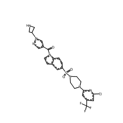 O=C(c1cnn(C2CNC2)c1)n1ccc2cc(S(=O)(=O)N3CCN(c4cc(C(F)(F)F)cc(Cl)n4)CC3)ccc21